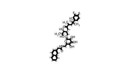 CC(CC(C)(C)c1ccc(F)c(F)c1)C(=O)C[C@@H](COC1OC(CNC(=O)Cc2ccc3ccccc3c2)C(O)C(O)C1O)[C@H](O)[C@@H](C)O